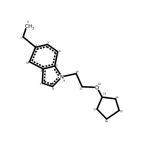 CCc1ccc2c(ccn2CCOC2CCCC2)c1